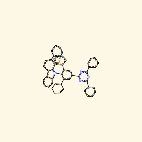 C1=CC(c2cc(-c3nc(-c4ccccc4)nc(-c4ccccc4)n3)cc(-c3ccccc3)c2-n2c3ccccc3c3ccc4c5ccccc5sc4c32)=CCC1